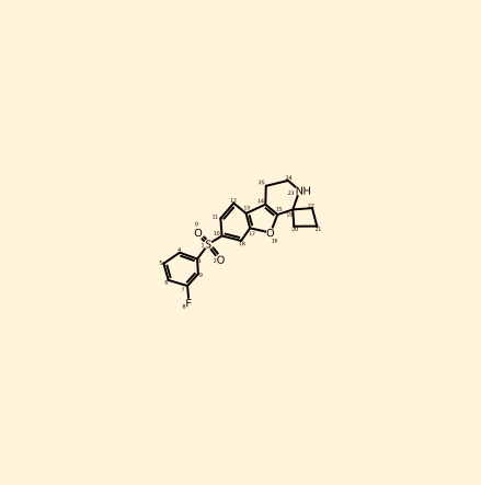 O=S(=O)(c1cccc(F)c1)c1ccc2c3c(oc2c1)C1(CCC1)NCC3